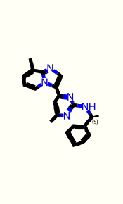 Cc1cc(-c2cnc3c(C)cccn23)nc(N[C@@H](C)c2ccccc2)n1